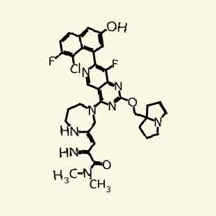 CN(C)C(=O)C(=N)/C=C1/CN(c2nc(OCC34CCCN3CCC4)nc3c(F)c(-c4cc(O)cc5ccc(F)c(Cl)c45)ncc23)CCCN1